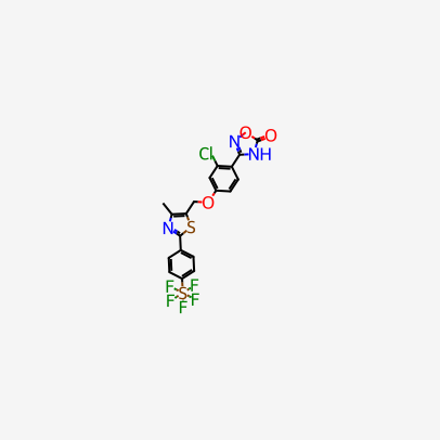 Cc1nc(-c2ccc(S(F)(F)(F)(F)F)cc2)sc1COc1ccc(-c2noc(=O)[nH]2)c(Cl)c1